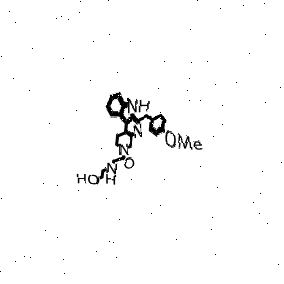 COc1ccc(Cc2nc3c(c4c2[nH]c2ccccc24)CCN(C(=O)CNCCO)C3)cc1